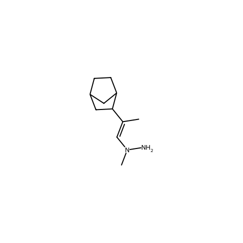 C/C(=C\N(C)N)C1CC2CCC1C2